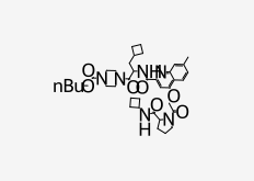 CCCCOC(=O)N1CCN(C(=O)C(CC2CCC2)NC(=O)c2cc(OCC(=O)N3CCCC3C(=O)NC3CCC3)c3ccc(C)cc3n2)CC1